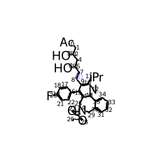 CC(=O)C[C@H](O)C[C@H](O)/C=C/c1c(C(C)C)nc2c(c1-c1ccc(F)cc1)CN(S(C)(=O)=O)Cc1ccccc1-2